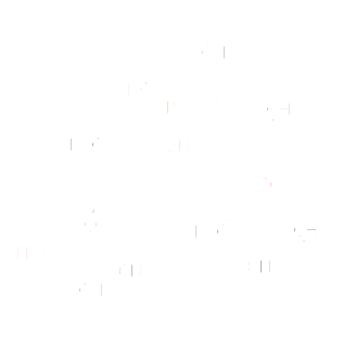 BC(C)(C)OCC(C)BP(C)B(C)C(C)COC(C)(C)C